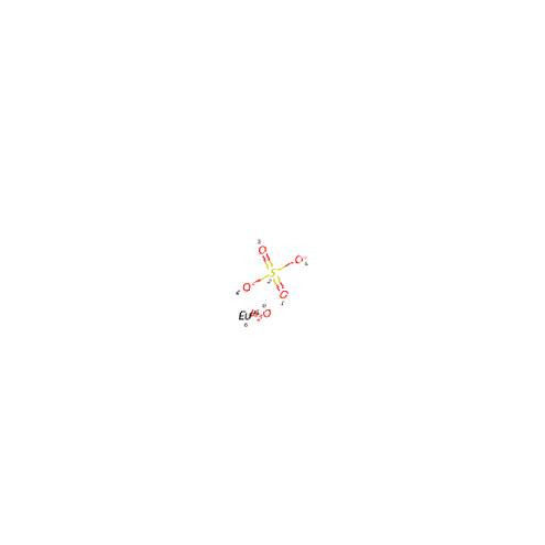 O.O=S(=O)([O-])[O-].[Eu+2]